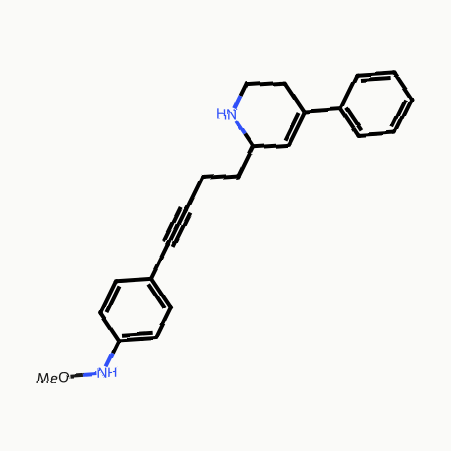 CONc1ccc(C#CCCC2C=C(c3ccccc3)CCN2)cc1